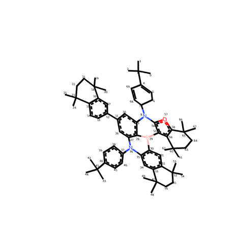 CC(C)(C)C1=CCC(N2c3cc(-c4ccc5c(c4)C(C)(C)CCC5(C)C)cc4c3B(c3cc5c(cc3N4c3ccc(C(C)(C)C)cc3)C(C)(C)CCC5(C)C)c3c2oc2c3C(C)(C)CCC2(C)C)C=C1